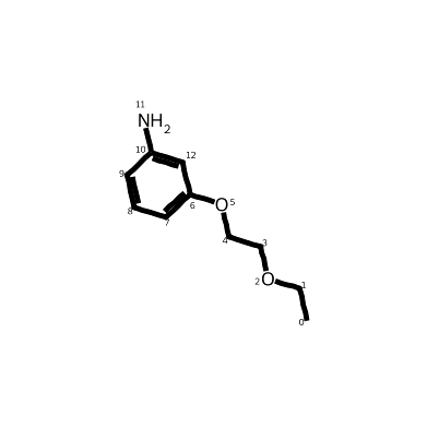 CCOCCOc1cccc(N)c1